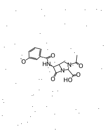 COc1cccc(C(=O)N[C@@H]2C(=O)N3C2CN(C(C)=O)C3C(=O)O)c1